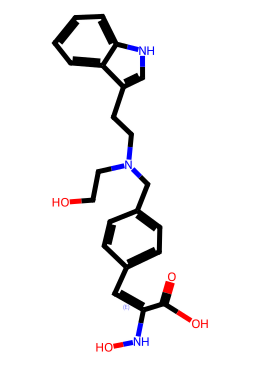 O=C(O)/C(=C\c1ccc(CN(CCO)CCc2c[nH]c3ccccc23)cc1)NO